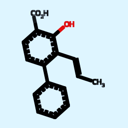 CC=Cc1c(-c2ccccc2)ccc(C(=O)O)c1O